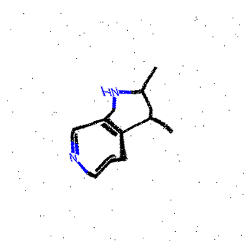 CC1Nc2cnccc2C1C